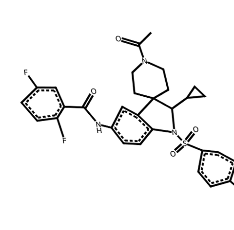 CC(=O)N1CCC2(CC1)c1cc(NC(=O)c3cc(F)ccc3F)ccc1N(S(=O)(=O)c1ccc(F)cc1)C2C1CC1